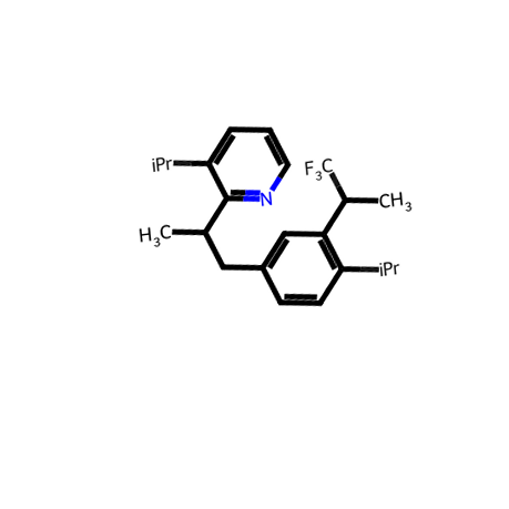 CC(C)c1ccc(CC(C)c2ncccc2C(C)C)cc1C(C)C(F)(F)F